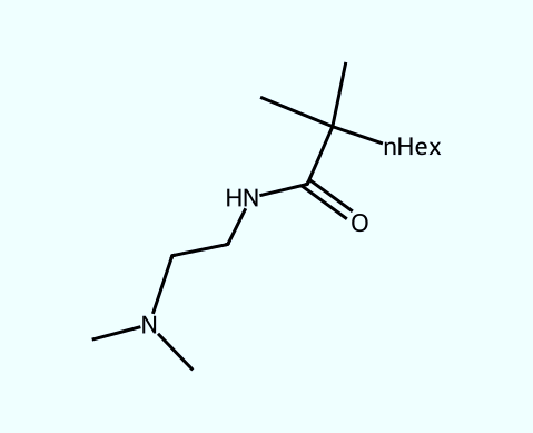 CCCCCCC(C)(C)C(=O)NCCN(C)C